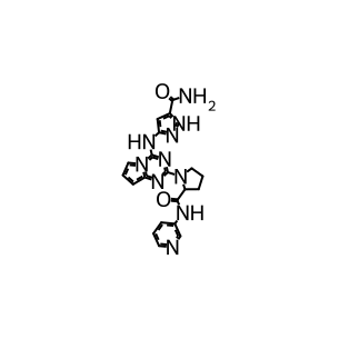 NC(=O)c1cc(Nc2nc(N3CCCC3C(=O)Nc3cccnc3)nc3cccn23)n[nH]1